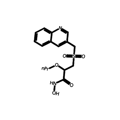 CCCOC(CS(=O)(=O)Cc1cnc2ccccc2c1)C(=O)NO